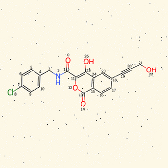 O=C(NCc1ccc(Cl)cc1)c1oc(=O)c2ccc(C#CCO)cc2c1O